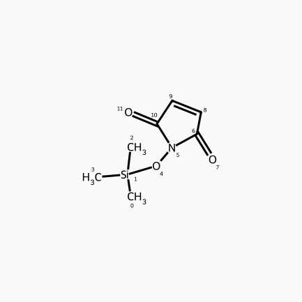 C[Si](C)(C)ON1C(=O)C=CC1=O